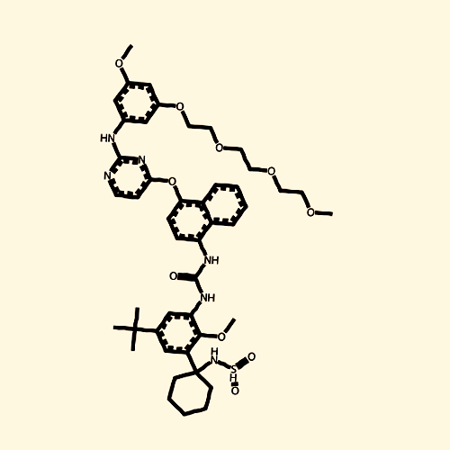 COCCOCCOCCOc1cc(Nc2nccc(Oc3ccc(NC(=O)Nc4cc(C(C)(C)C)cc(C5(N[SH](=O)=O)CCCCC5)c4OC)c4ccccc34)n2)cc(OC)c1